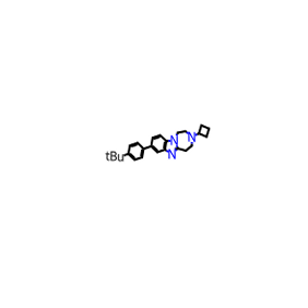 CC(C)(C)c1ccc(-c2ccc3c(c2)nc2n3CCN(C3CCC3)CC2)cc1